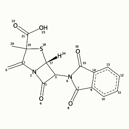 C=C1N2C(=O)C(N3C(=O)c4ccccc4C3=O)[C@H]2SC1(C)C(=O)O